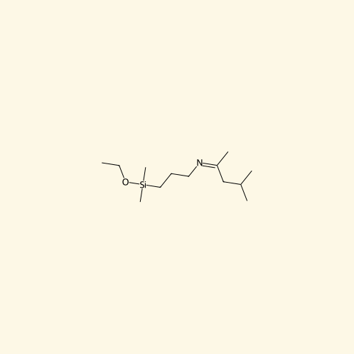 CCO[Si](C)(C)CCCN=C(C)CC(C)C